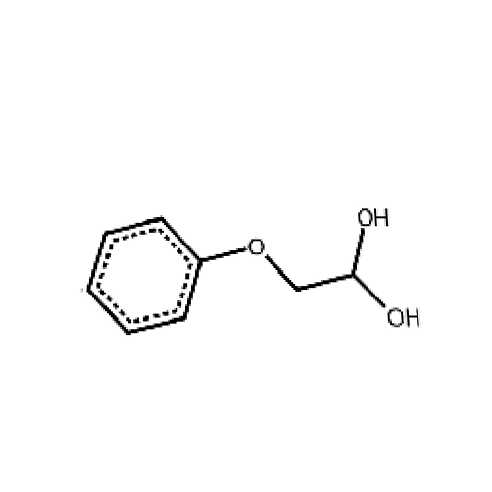 OC(O)COc1cc[c]cc1